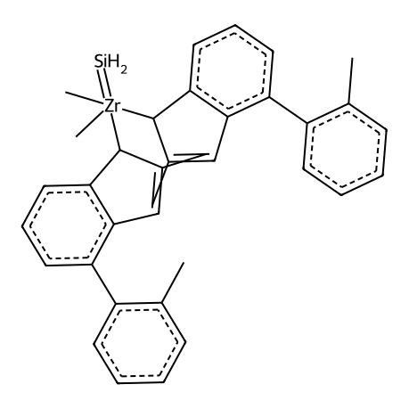 CC1=Cc2c(-c3ccccc3C)cccc2[CH]1[Zr]([CH3])([CH3])(=[SiH2])[CH]1C(C)=Cc2c(-c3ccccc3C)cccc21